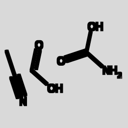 CC#N.NC(=O)O.O=CO